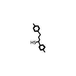 Cc1ccc(CCCC(S)c2ccc(C)cc2)cc1